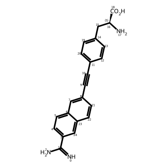 N=C(N)c1ccc2cc(C#Cc3ccc(C[C@H](N)C(=O)O)cc3)ccc2c1